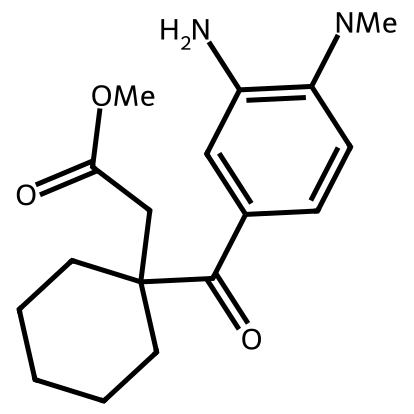 CNc1ccc(C(=O)C2(CC(=O)OC)CCCCC2)cc1N